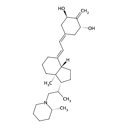 C=C1[C@H](O)CC(=C/C=C2\CCC[C@]3(C)[C@@H](C(C)CN4CCCC[C@H]4C)CC[C@@H]23)C[C@H]1O